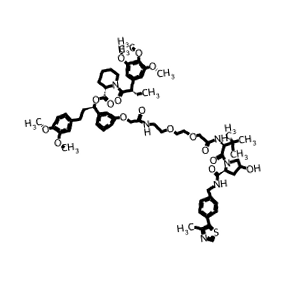 CC[C@H](C(=O)N1CCCC[C@H]1C(=O)O[C@H](CCc1ccc(OC)c(OC)c1)c1cccc(OCC(=O)NCCOCCOCC(=O)N[C@H](C(=O)N2CC(O)C[C@H]2C(=O)NCc2ccc(-c3scnc3C)cc2)C(C)(C)C)c1)c1cc(OC)c(OC)c(OC)c1